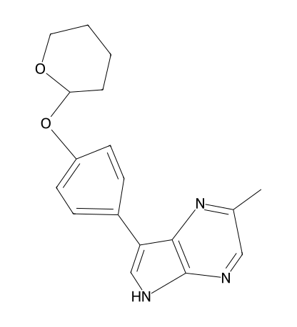 Cc1cnc2[nH]cc(-c3ccc(OC4CCCCO4)cc3)c2n1